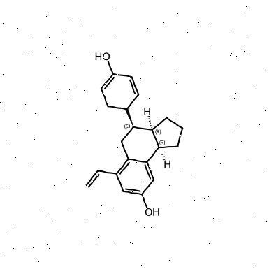 C=Cc1cc(O)cc2c1C[C@@H](C1C=CC(O)=CC1)[C@H]1CCC[C@@H]21